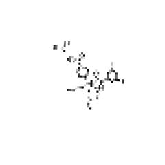 CCCC[C@H](c1ccc(C(=O)NCCC(=O)O)cc1)N1C(=O)C(c2cc(F)cc(F)c2)=NC12CCC(C(C)C)CC2